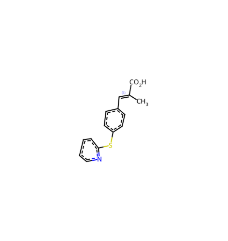 C/C(=C\c1ccc(Sc2ccccn2)cc1)C(=O)O